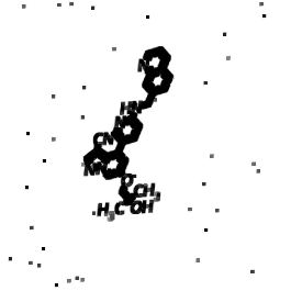 CC(C)(O)COc1cc(-c2ccc(NCc3ccc4cccnc4c3)nc2)c2c(C#N)cnn2c1